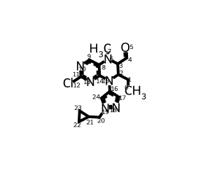 CCC1C(C=O)N(C)c2cnc(Cl)nc2N1c1cnn(CC2CC2)c1